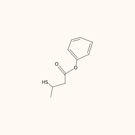 CC(S)CC(=O)Oc1ccccc1